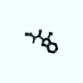 CCc1c(C(=O)N(C)OC)sc2ccccc12